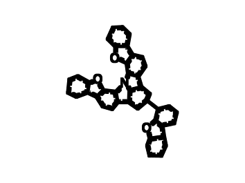 c1ccc2c(c1)oc1c(-c3cc4c5ccc6c7ccccc7oc6c5n5c4c(c3)c3ccc4c6ccccc6oc4c35)cccc12